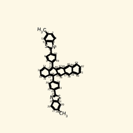 Cc1ccc2nc(-c3ccc(-c4c5ccccc5c(-c5ccc(-c6nc7ccc(C)cc7s6)cc5)c5cc6cc7ccccc7cc6cc45)cc3)sc2c1